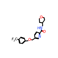 O=C(NCC1CCOCC1)c1ccc(COCc2ccc(C(F)(F)F)cc2)cn1